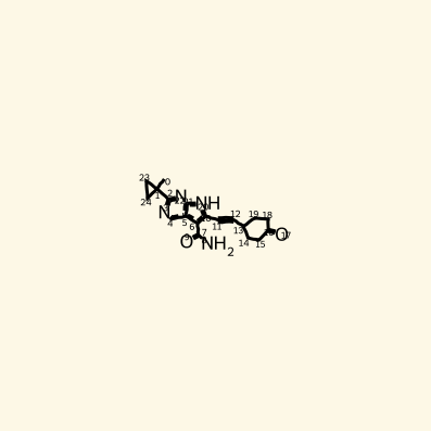 CC1(c2ncc3c(C(N)=O)c(C#CC4CCC(=O)CC4)[nH]c3n2)CC1